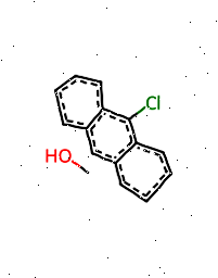 CO.Clc1c2ccccc2cc2ccccc12